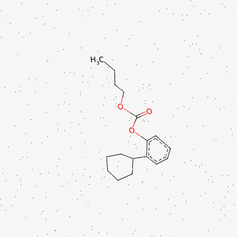 CCCCOC(=O)Oc1ccccc1C1CCCCC1